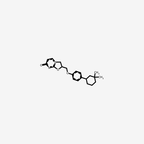 CC1(C)CCCC(c2ccc(OCC3Cn4ccc(=O)nc4O3)cc2)C1